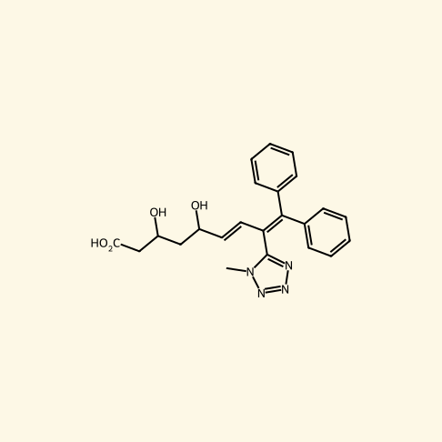 Cn1nnnc1C(/C=C/C(O)CC(O)CC(=O)O)=C(c1ccccc1)c1ccccc1